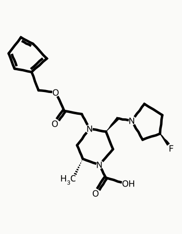 C[C@@H]1CN(CC(=O)OCc2ccccc2)[C@@H](CN2CC[C@@H](F)C2)CN1C(=O)O